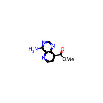 COC(=O)c1ccnc2c(N)ncnc12